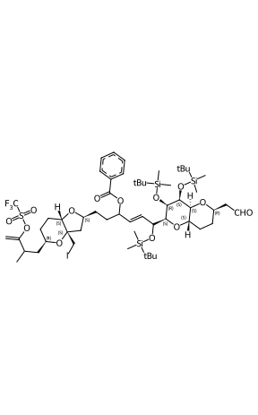 C=C(OS(=O)(=O)C(F)(F)F)C(C)C[C@H]1CC[C@@H]2O[C@@H](CCC(C=CC(O[Si](C)(C)C(C)(C)C)[C@@H]3O[C@H]4CC[C@H](CC=O)O[C@@H]4[C@H](O[Si](C)(C)C(C)(C)C)[C@@H]3O[Si](C)(C)C(C)(C)C)OC(=O)c3ccccc3)C[C@]2(CI)O1